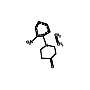 C=C.O=C1CCN(c2ccccc2[N+](=O)[O-])CC1